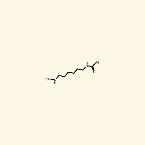 CC(C)C(=O)NCCCCCCNC(C)(C)C